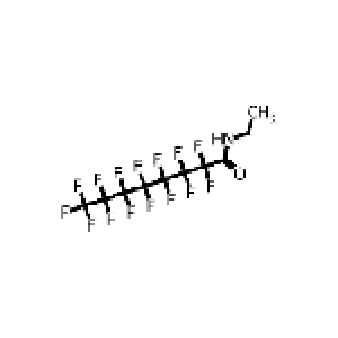 CCNC(=O)C(F)(F)C(F)(F)C(F)(F)C(F)(F)C(F)(F)C(F)(F)C(F)(F)F